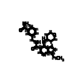 CCn1ncc2c(NC3CCOCC3)c(C(=O)NCc3cccc(C(N)=O)c3)cnc21